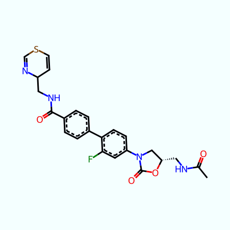 CC(=O)NC[C@H]1CN(c2ccc(-c3ccc(C(=O)NCC4C=CSC=N4)cc3)c(F)c2)C(=O)O1